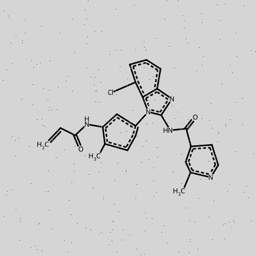 C=CC(=O)Nc1cc(-n2c(NC(=O)c3ccnc(C)c3)nc3cccc(Cl)c32)ccc1C